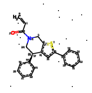 C=CC(=O)N1Cc2sc(-c3ccccc3)cc2[C@@H](c2ccccc2)C1